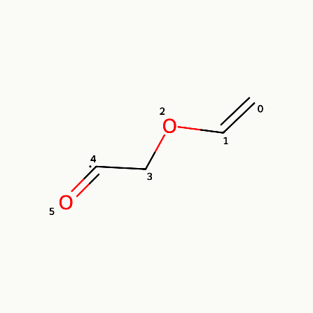 C=COC[C]=O